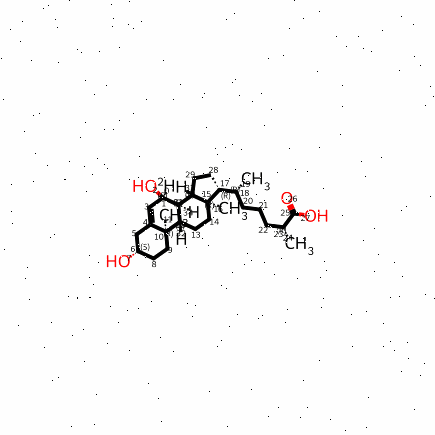 [2H][C@@]1(O)C=C2C[C@@H](O)CC[C@]2(C)[C@H]2CC[C@]3(C)[C@@H]([C@H](C)CCC[C@@H](C)C(=O)O)CC[C@H]3[C@@H]21